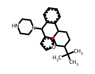 CC(C)(C)C1CCC(c2ccccc2C(c2ccoc2)N2CCNCC2)CC1